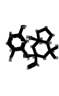 C=N[C@]1(Nc2nc(Cl)ncc2F)C[C@@H]2CCCN2C(C)(C)C1